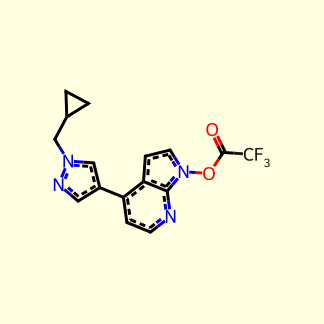 O=C(On1ccc2c(-c3cnn(CC4CC4)c3)ccnc21)C(F)(F)F